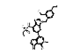 CCS(=O)(=O)Nc1cc(-c2cn(C)c(=O)c3[nH]ccc23)nc2c1ncn2Cc1ccc(CF)cc1CF